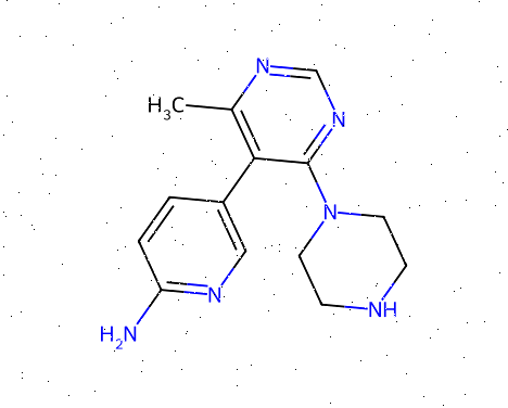 Cc1ncnc(N2CCNCC2)c1-c1ccc(N)nc1